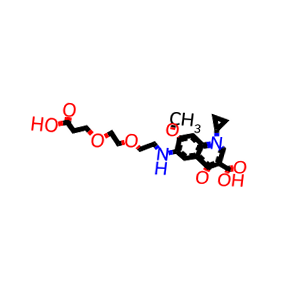 COc1cc2c(cc1NCCOCCOCCC(=O)O)c(=O)c(C(=O)O)cn2C1CC1